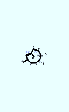 CC1=C\C(C)CC[C@@H](C)[C@@H](C)/C=C\1